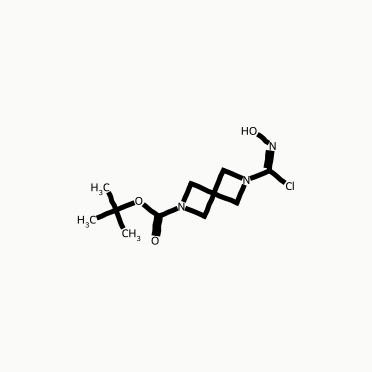 CC(C)(C)OC(=O)N1CC2(C1)CN(/C(Cl)=N\O)C2